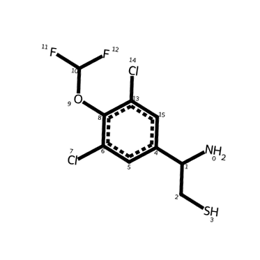 NC(CS)c1cc(Cl)c(OC(F)F)c(Cl)c1